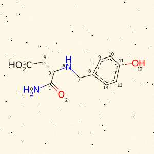 NC(=O)[C@H](CC(=O)O)NCc1ccc(O)cc1